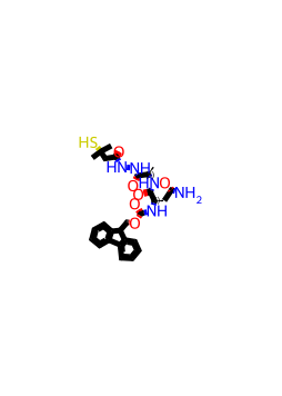 C[C@H](NC(=O)[C@H](CC(N)=O)NC(=O)OCC1c2ccccc2-c2ccccc21)C(=O)NNC(=O)CC(C)(C)S